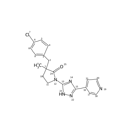 CC1(Cc2ccc(Cl)cc2)CCN(c2nc(-c3ccncc3)n[nH]2)C1=O